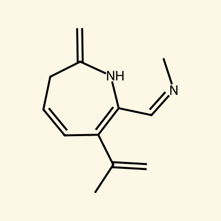 C=C1CC=CC(C(=C)C)=C(/C=N\C)N1